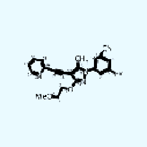 COCCOc1nn(-c2cc(F)cc(C#N)c2)c(C)c1C#Cc1ccccn1